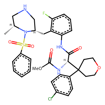 COC(=O)N[C@H](C(=O)Nc1cccc(F)c1C[C@H]1CNC[C@@H](C)N1S(=O)(=O)c1ccccc1)C1(c2ccc(Cl)cc2)CCOCC1